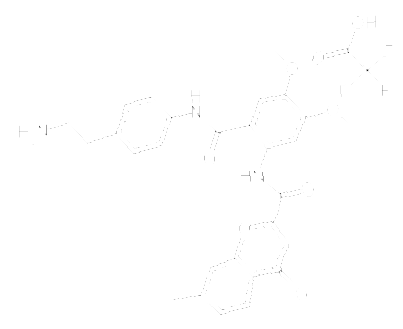 COc1cc(NC(=O)c2cc(=O)c3ccc(C)cc3o2)c(C(=O)Nc2ccc(CCN)cc2)cc1OC.O=C(O)C(F)(F)F